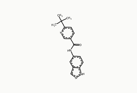 CC(C)(C)c1ccc(C(=O)Nc2ccc3[nH]ncc3c2)cn1